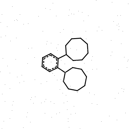 [c]1ccc(C2CCCCCCC2)c(C2CCCCCCC2)c1